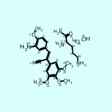 COc1ccc(C=C(C#N)c2cc(OC)c(OC)c(OC)c2)cc1N.Cl.Cl.NCCC[C@H](N)C(N)=O